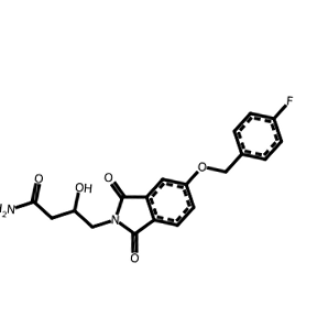 NC(=O)CC(O)CN1C(=O)c2ccc(OCc3ccc(F)cc3)cc2C1=O